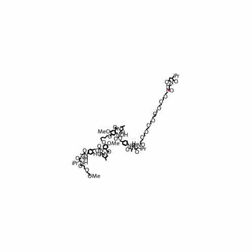 COCCOCCC(=O)N[C@H](C(=O)N[C@@H](C)C(=O)Nc1ccc(COC(=O)N2c3cc(OCCCCCOc4cc5c(cc4OC)C(=O)N4C=C(C)C[C@H]4[C@H](O)N5C(=O)OCc4ccc(NC(=O)C(C)NC(=O)[C@@H](NC(=O)CCOCCOCCOCCOCCOCCOCCOCCOCCNC(=O)CCN5C(=O)CC(C(C)C)C5=O)C(C)C)cc4)c(OC)cc3C(=O)N3C=C(C)C[C@H]3[C@@H]2O)cc1)C(C)C